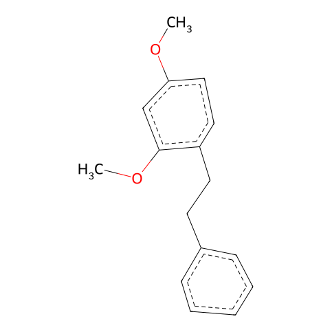 COc1ccc(CCc2ccccc2)c(OC)c1